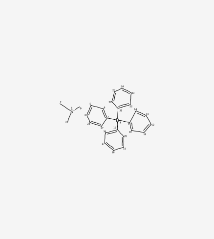 C[S+](C)C.c1ccc([B-](c2ccccc2)(c2ccccc2)c2ccccc2)cc1